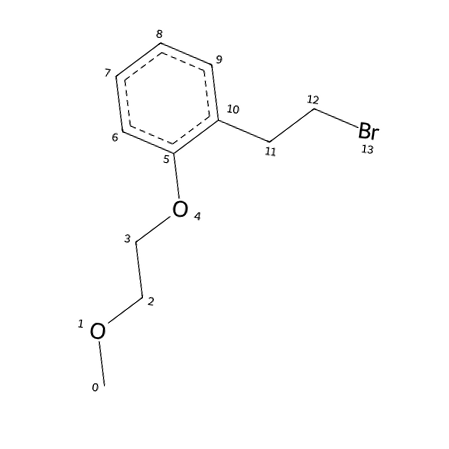 COCCOc1ccccc1CCBr